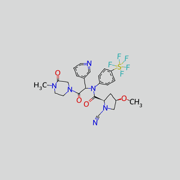 CO[C@@H]1C[C@H](C(=O)N(c2ccc(S(F)(F)(F)(F)F)cc2)C(C(=O)N2CCN(C)C(=O)C2)c2cccnc2)N(C#N)C1